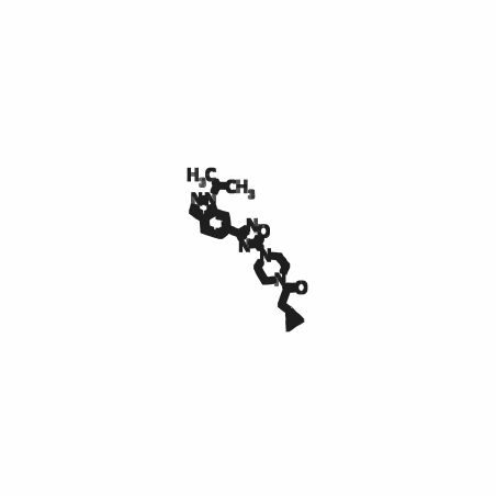 CC(C)n1ncc2ccc(-c3noc(N4CCN(C(=O)CC5CC5)CC4)n3)cc21